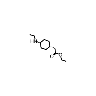 CCN[C@H]1CC[C@H](CC(=O)OCC)CC1